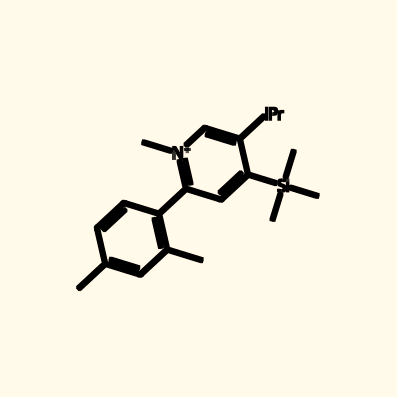 Cc1ccc(-c2cc([Si](C)(C)C)c(C(C)C)c[n+]2C)c(C)c1